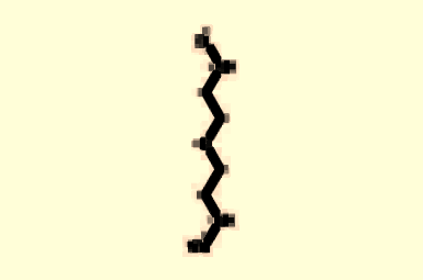 CCNCCOCCNC(C)(C)C